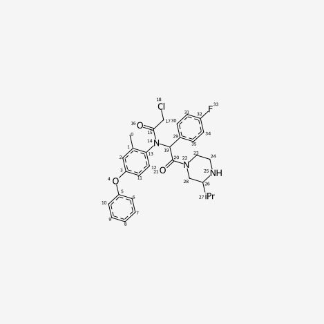 Cc1cc(Oc2ccccc2)ccc1N(C(=O)CCl)C(C(=O)N1CCNC(C(C)C)C1)c1ccc(F)cc1